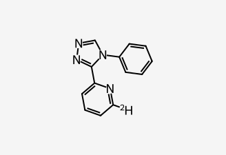 [2H]c1cccc(-c2nncn2-c2ccccc2)n1